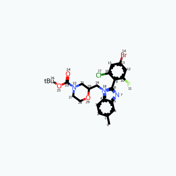 Cc1ccc2c(c1)nc(-c1c(F)cc(Br)cc1Cl)n2CC1CN(C(=O)OC(C)(C)C)CCO1